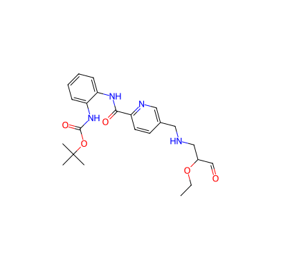 CCOC(C=O)CNCc1ccc(C(=O)Nc2ccccc2NC(=O)OC(C)(C)C)nc1